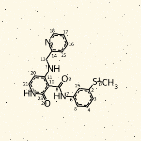 CSc1cccc(NC(=O)c2c(NCc3ccccn3)cc[nH]c2=O)c1